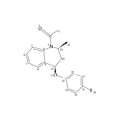 CC(=O)N1c2ccccc2[C@H](Oc2ccc(F)cc2)C[C@@H]1C